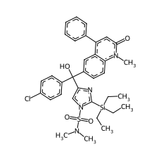 CC[Si](CC)(CC)c1nc(C(O)(c2ccc(Cl)cc2)c2ccc3c(c2)c(-c2ccccc2)cc(=O)n3C)cn1S(=O)(=O)N(C)C